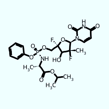 CC(C)OC(=O)[C@H](C)N[P@](=O)(OC[C@@]1(F)O[C@@H](n2ccc(=O)[nH]c2=O)[C@](C)(F)C1O)Oc1ccccc1